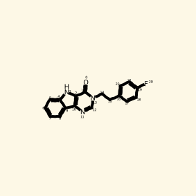 O=c1c2[nH]c3ccccc3c2ncn1CCc1ccc(F)cc1